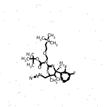 CC1[C@@](C)(CN=[N+]=[N-])SC(N(COCC[Si](C)(C)C)C(=O)OC(C)(C)C)=N[C@]1(C)c1cccc(F)c1F